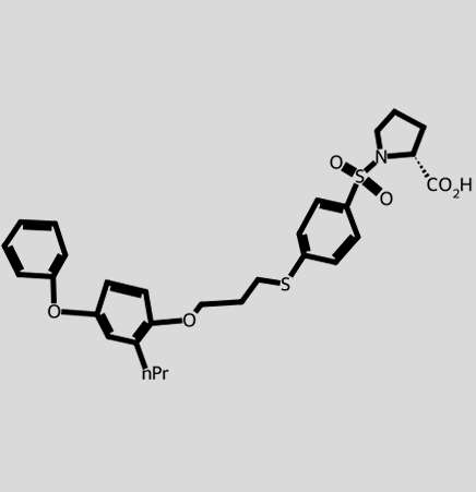 CCCc1cc(Oc2ccccc2)ccc1OCCCSc1ccc(S(=O)(=O)N2CCC[C@@H]2C(=O)O)cc1